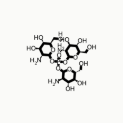 N[C@H]1C(OP(=O)(OC2O[C@H](CO)[C@@H](O)[C@H](O)[C@H]2N)OC2O[C@H](CO)[C@@H](O)[C@H](O)[C@H]2N)O[C@H](CO)[C@@H](O)[C@@H]1O